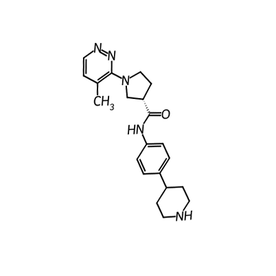 Cc1ccnnc1N1CC[C@H](C(=O)Nc2ccc(C3CCNCC3)cc2)C1